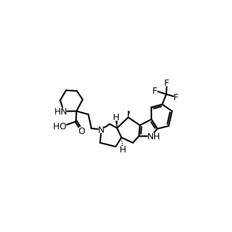 C[C@H]1c2c([nH]c3ccc(C(F)(F)F)cc23)C[C@H]2CCN(CCC3(C(=O)O)CCCCN3)C[C@@H]21